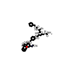 COC1(c2ccc(/C=C/C#N)c(OCc3ccc(NC(=O)C(CCCNC(N)=O)NC(=O)C(NC(=O)OCc4ccccc4)C(C)C)cc3)c2Cl)OOC12C1CC3CC(C1)CC2C3